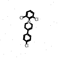 Clc1ccc(C2=CCN(c3c(Cl)[c]ccc3Cl)CC2)cc1